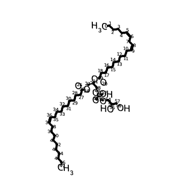 CCCCC/C=C\C/C=C\CCCCCCCCCC(=O)O[C@H](COC(=O)CCCCCCCCC/C=C\CCCCCCCCCC)COP(=O)(O)OC[C@@H](O)CO